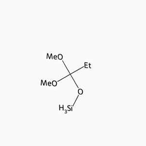 CCC(OC)(OC)O[SiH3]